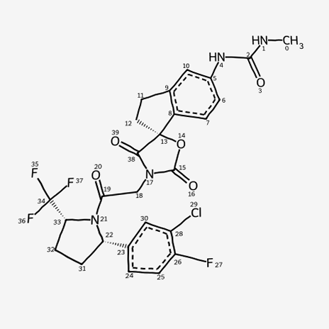 CNC(=O)Nc1ccc2c(c1)CC[C@@]21OC(=O)N(CC(=O)N2[C@H](c3ccc(F)c(Cl)c3)CC[C@@H]2C(F)(F)F)C1=O